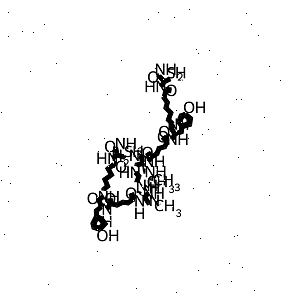 CCNC[C@](CN)(CNCCNC[C@@](CNC)(NCC)NC(=O)CCCC(=O)NC(Cc1ccc(O)cc1)C(=O)NCCCCCC(=O)NC(CS)C(N)=O)NC(=O)CCCC(=O)NC(Cc1ccc(O)cc1)C(=O)NCCCCCC(=O)NC(CS)C(N)=O